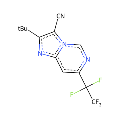 CC(C)(C)c1nc2cc(C(F)(F)C(F)(F)F)ncn2c1C#N